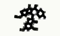 COc1ccc2[nH]c(C(=O)N3CCN(C)CC3)c(C=C3Oc4cc(O)cc(O)c4C3=O)c2c1